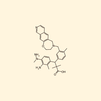 Cc1ccc(C(c2ccc(N(C)N)c(N)c2C)C(C)(C)C(=O)O)cc1CN1CCOc2cc3cnccc3cc2C1